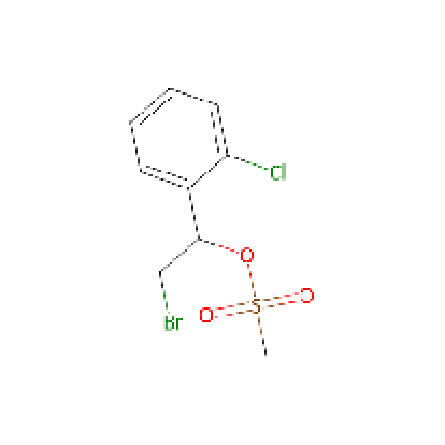 CS(=O)(=O)OC(CBr)c1ccccc1Cl